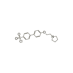 O=S(=O)(Cl)c1ccc(-c2ccc(OCCN3CCCC3)cc2)cc1